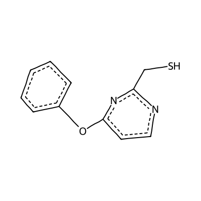 SCc1nccc(Oc2ccccc2)n1